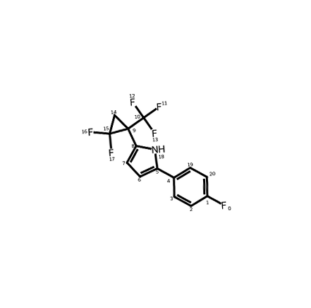 Fc1ccc(-c2ccc(C3(C(F)(F)F)CC3(F)F)[nH]2)cc1